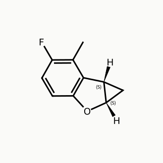 Cc1c(F)ccc2c1[C@@H]1C[C@@H]1O2